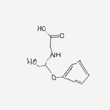 O=C(O)CNC(CO)Oc1ccccc1